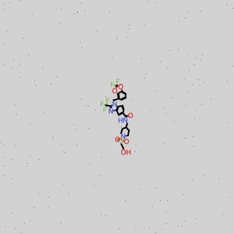 O=C(NCC1CCN(S(=O)(=O)CCO)CC1)c1ccc2c(c1)nc(C(F)(F)F)n2Cc1cccc2c1OC(F)(F)O2